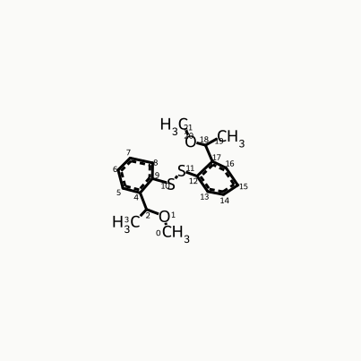 COC(C)c1ccccc1SSc1ccccc1C(C)OC